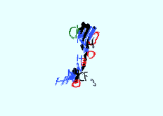 Cc1cc2c(nc1Cl)N1CCN(C(=O)CCOC[C@H](C)Nc3cn[nH]c(=O)c3C(F)(F)F)C[C@@H]1C(=O)N2C